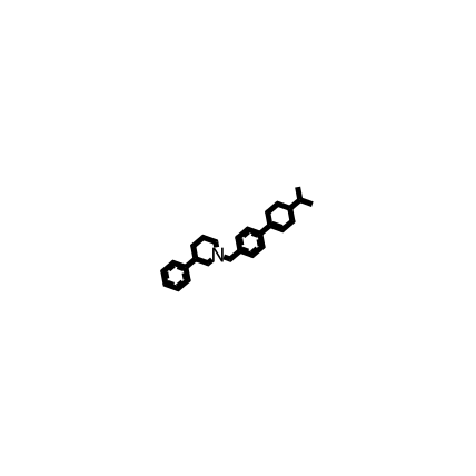 CC(C)C1CC=C(c2ccc(CN3CCCC(c4ccccc4)C3)cc2)CC1